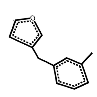 Cc1cccc(Cc2c[c]oc2)c1